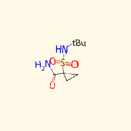 CC(C)(C)NS(=O)(=O)C1(C(N)=O)CC1